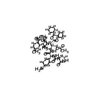 CC(=O)OCC1=C(C(=O)OC(c2ccccc2)c2ccccc2)N2C(=O)[C@@H](c3cc(C)ccc3S(=O)(=O)O)[C@@H]2SC1NC(=O)C(NC(=O)N1CCNC1=O)c1ccc(N)cc1